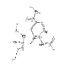 CCOP(=O)(Cc1cc(C(=O)OC)ccc1NC(C)=O)OCC